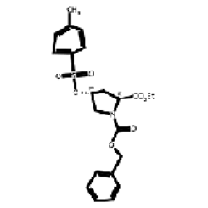 CCOC(=O)[C@@H]1C[C@@H](OS(=O)(=O)c2ccc(C)cc2)CN1C(=O)OCc1ccccc1